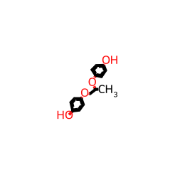 CC(COc1ccc(O)cc1)Oc1ccc(O)cc1